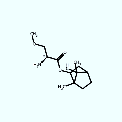 COC[C@H](N)C(=O)OC1CC2CCC1(C)C2(C)C